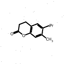 Cc1cc2c(cc1C(C)C)CCC(=O)O2